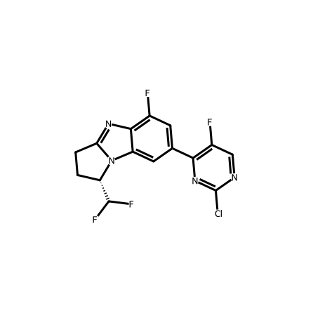 Fc1cnc(Cl)nc1-c1cc(F)c2nc3n(c2c1)[C@H](C(F)F)CC3